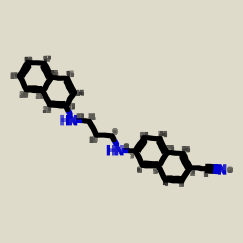 N#Cc1ccc2cc(NCCCNc3ccc4ccccc4c3)ccc2c1